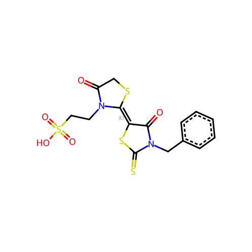 O=C1/C(=C2\SCC(=O)N2CCS(=O)(=O)O)SC(=S)N1Cc1ccccc1